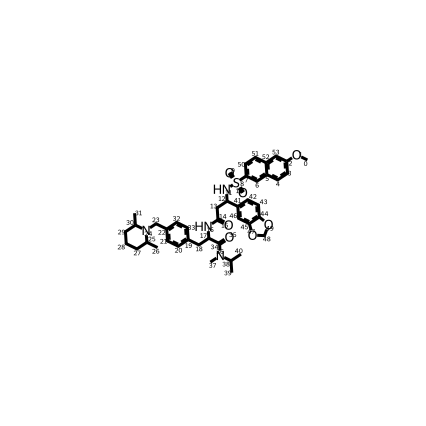 COc1ccc2cc(S(=O)(=O)NC(CC(=O)NC(Cc3ccc(CN4C(C)CCCC4C)cc3)C(=O)N(C)C(C)C)c3ccc4c(c3)OCO4)ccc2c1